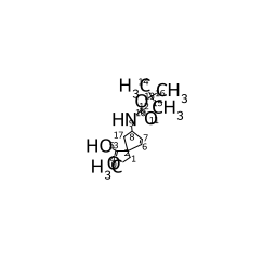 CCC1(C(=O)O)C=CC(NC(=O)OC(C)(C)C)C1